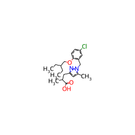 CCC(CC)COc1ccc(Cl)cc1Cn1nc(CC(C)C(=O)O)cc1C